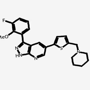 COc1c(F)cccc1-c1n[nH]c2ncc(-c3ccc(CN4CCCCC4)s3)cc12